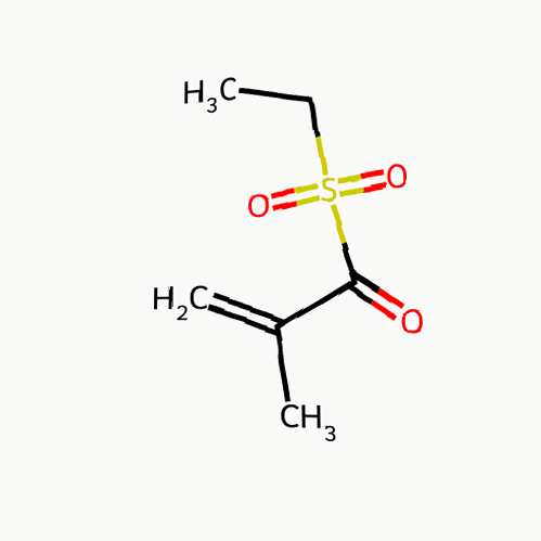 C=C(C)C(=O)S(=O)(=O)CC